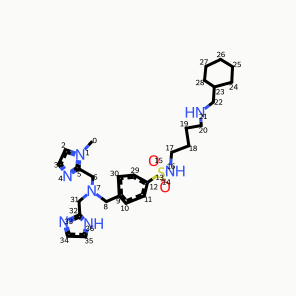 Cn1ccnc1CN(Cc1ccc(S(=O)(=O)NCCCCNCC2CCCCC2)cc1)Cc1ncc[nH]1